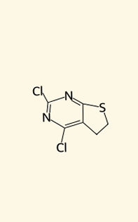 Clc1nc(Cl)c2c(n1)SCC2